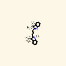 CCN1C(=CC=CC2=Nc3ccccc3C2(C)C)C(C)(C)c2ccccc21